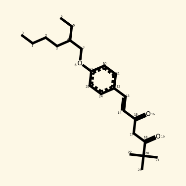 CCCCC(CC)COc1ccc(C=CC(=O)CC(=O)C(C)(C)C)cc1